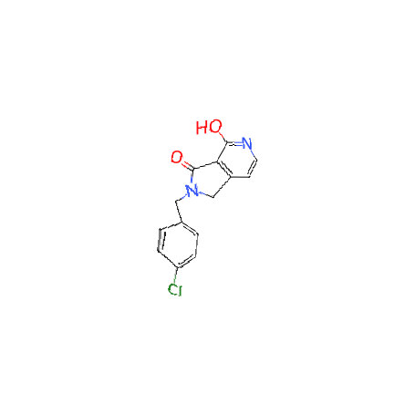 O=C1c2c(ccnc2O)CN1Cc1ccc(Cl)cc1